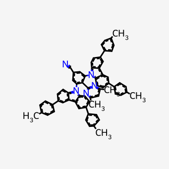 Cc1ccc(-c2ccc3c(c2)c2cc(-c4ccc(C)cc4)ccc2n3-c2cc(C#N)cc(-n3c4ccc(-c5ccc(C)cc5)cc4c4cc(-c5ccc(C)cc5)ccc43)c2-c2nc(C)cc(C)n2)cc1